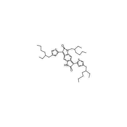 CCCCC(CC)Cc1csc(C2=c3cc4c(cc3NC2=O)=C(c2cc(CC(CC)CCCC)cs2)C(=O)N4CC(CC)CCCC)c1